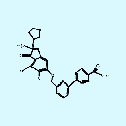 CC1(C2CCCC2)Cc2cc(OCc3cccc(-c4ccc(C(=O)O)cc4)c3)c(Cl)c(Cl)c2C1=O